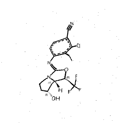 Cc1c(N=C2O[C@@H](C(F)(F)F)[C@@H]3[C@H](O)CCN23)ccc(C#N)c1Cl